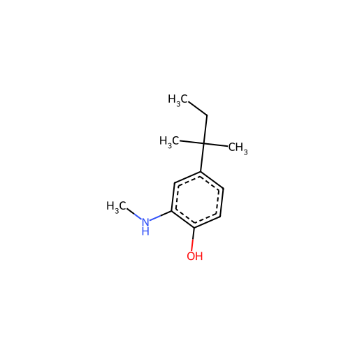 CCC(C)(C)c1ccc(O)c(NC)c1